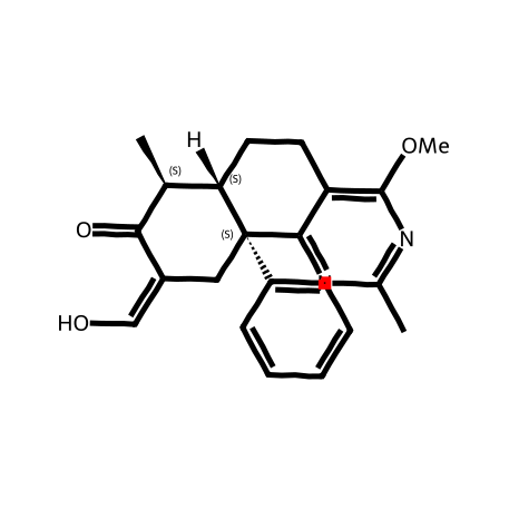 COc1nc(C)nc2c1CC[C@H]1[C@H](C)C(=O)C(=CO)C[C@]21c1ccccc1